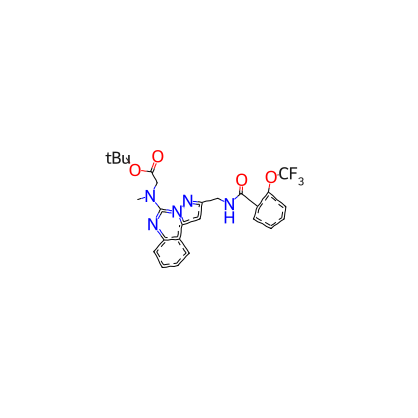 CN(CC(=O)OC(C)(C)C)c1nc2ccccc2c2cc(CNC(=O)c3ccccc3OC(F)(F)F)nn12